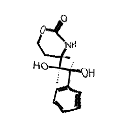 C[C@@](O)([C@@](C)(O)c1ccccc1)[C@]1(C)CCOC(=O)N1